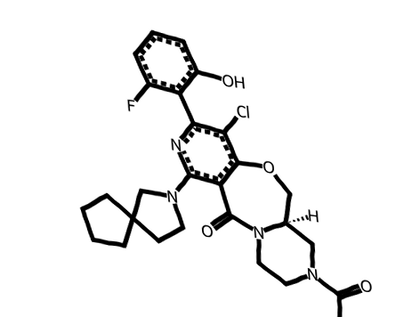 CC(C)(C)OC(=O)N1CCN2C(=O)c3c(N4CCC5(CCCC5)C4)nc(-c4c(O)cccc4F)c(Cl)c3OC[C@H]2C1